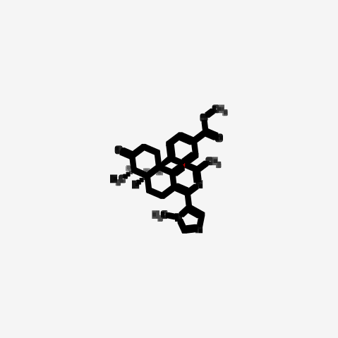 COC(=O)c1ccc([C@]23CCC(=O)[C@@H](C)[C@@H]2CCc2c(-c4cncn4C)nc(C)nc23)cc1